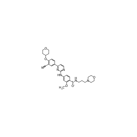 COc1cc(Nc2nccc(-c3ccc(OC4CCOCC4)c(C#N)c3)n2)ccc1[S+]([O-])NCCCN1CCOCC1